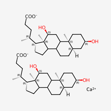 C[C@H](CCC(=O)[O-])[C@H]1CCC2C3CC[C@@H]4C[C@H](O)CC[C@]4(C)C3C[C@H](O)[C@@]21C.C[C@H](CCC(=O)[O-])[C@H]1CCC2C3CC[C@@H]4C[C@H](O)CC[C@]4(C)C3C[C@H](O)[C@@]21C.[Ca+2]